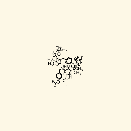 COC(=O)N[C@H](C(=O)NN(Cc1ccc(OC(F)F)cc1)C[C@@H]1OC(C)(C)N(C(=O)OC(C)(C)C)[C@H]1Cc1ccc(OS(=O)(=O)C(F)(F)F)cc1)C(C)(C)C